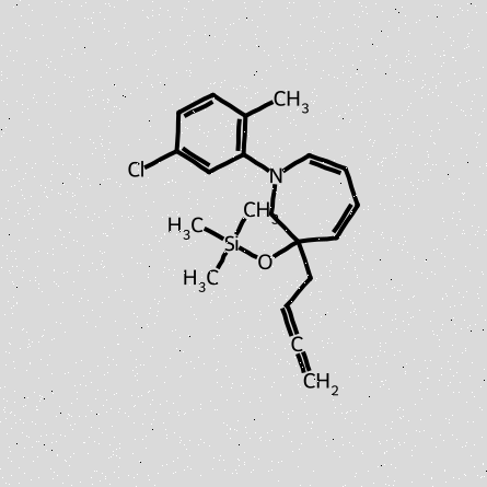 C=C=CCC1(O[Si](C)(C)C)C=CC=CN(c2cc(Cl)ccc2C)C1